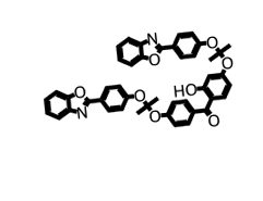 CC(C)(Oc1ccc(C(=O)c2ccc(OC(C)(C)Oc3ccc(-c4nc5ccccc5o4)cc3)cc2O)cc1)Oc1ccc(-c2nc3ccccc3o2)cc1